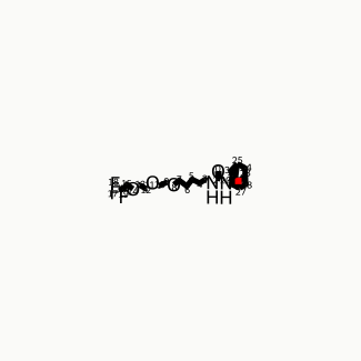 O=C(NCCCCCOCCOCCOCC(F)(F)F)NC12CC3CC(CC(C3)C1)C2